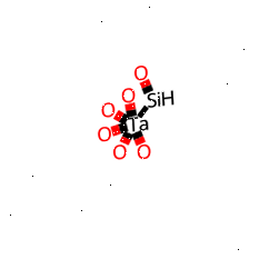 O=[SiH][Ta](=[O])(=[O])(=[O])(=[O])=[O]